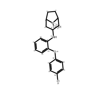 CCOC(=O)N1C2CCC1CC(Nc1ccccc1Oc1ccc(Cl)cc1)C2